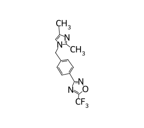 Cc1cn(Cc2ccc(-c3noc(C(F)(F)F)n3)cc2)c(C)n1